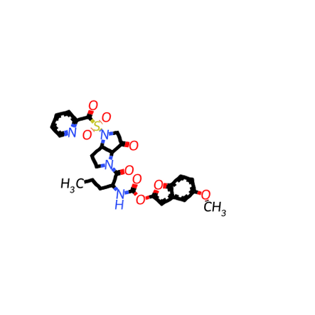 CCCC(NC(=O)Oc1cc2cc(OC)ccc2o1)C(=O)N1CCC2C1C(=O)CN2S(=O)(=O)C(=O)c1ccccn1